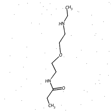 CCNCCOCCNC(=O)CC